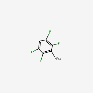 CNc1c(F)c(F)cc(F)c1F